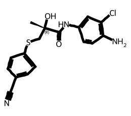 C[C@](O)(CSc1ccc(C#N)cc1)C(=O)Nc1ccc(N)c(Cl)c1